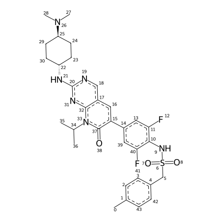 Cc1ccc(CS(=O)(=O)Nc2c(F)cc(-c3cc4cnc(N[C@H]5CC[C@H](N(C)C)CC5)nc4n(C(C)C)c3=O)cc2F)cc1